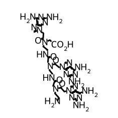 NCCN(CC(=O)NCCN(CC(=O)NCCN(CC(=O)O)C(=O)Cn1cnc2c(N)nc(N)nc21)C(=O)Cn1cnc2c(N)nc(N)nc21)C(=O)Cn1cnc2c(N)nc(N)nc21